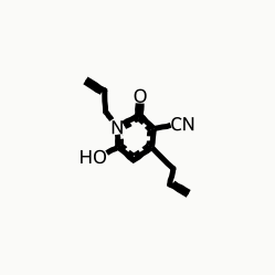 C=CCc1cc(O)n(CC=C)c(=O)c1C#N